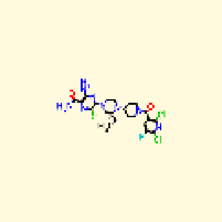 CC[C@H]1CN(c2nc(N)c(C(N)=O)nc2Cl)CCN1C1CCN(C(=O)c2cc(F)c(Cl)nc2Cl)CC1